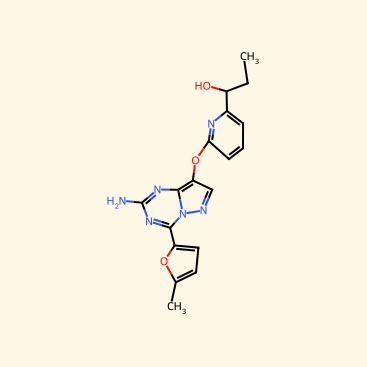 CCC(O)c1cccc(Oc2cnn3c(-c4ccc(C)o4)nc(N)nc23)n1